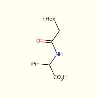 CCCCCCCC(=O)NC(C(=O)O)C(C)C